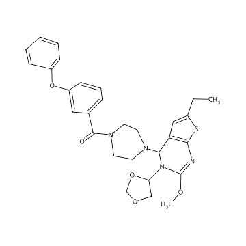 CCc1cc2c(s1)N=C(OC)N(C1COCO1)C2N1CCN(C(=O)c2cccc(Oc3ccccc3)c2)CC1